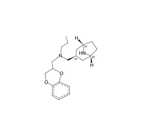 CCCN(CC1COc2ccccc2O1)C[C@@H]1C[C@H]2CC[C@@H](C1)N2